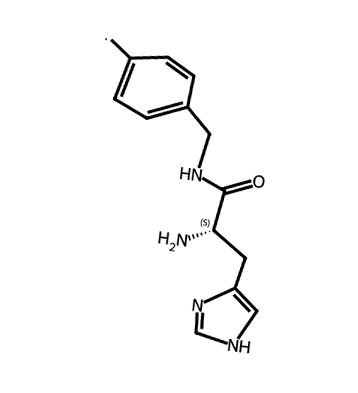 [CH2]c1ccc(CNC(=O)[C@@H](N)Cc2c[nH]cn2)cc1